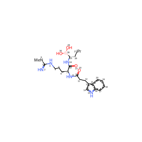 CNC(=N)NCCC[C@H](NC(=O)CCc1c[nH]c2ccccc12)C(=O)N[C@@H](CC(C)C)B(O)O